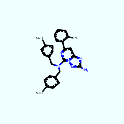 COc1ccc(CN(Cc2ccc(OC)cc2)c2nc(-c3ccccc3C#N)cc3nc(N)nn23)cc1